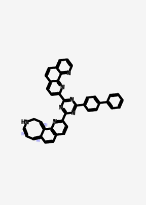 C1=C/NC\C=c2/c(ccc3ccc(-c4nc(-c5ccc(-c6ccccc6)cc5)nc(-c5ccc6ccc7cccnc7c6n5)n4)nc23)=C\1